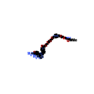 COCC(=O)NCCOCCOCCN1CCN(CCOCCOCCOCCOCCC(=O)N2CCc3cc(Cn4nc(-c5ccc6oc(N)nc6c5)c5c(N)ncnc54)ccc3C2)CC1